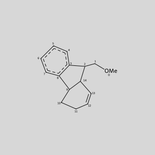 COCC1c2ccccc2C2CCC=CC21